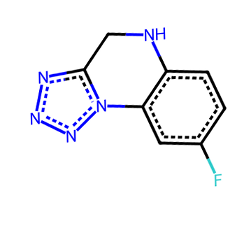 Fc1ccc2c(c1)-n1nnnc1CN2